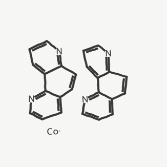 [Co].c1cnc2c(c1)ccc1ncccc12.c1cnc2c(c1)ccc1ncccc12